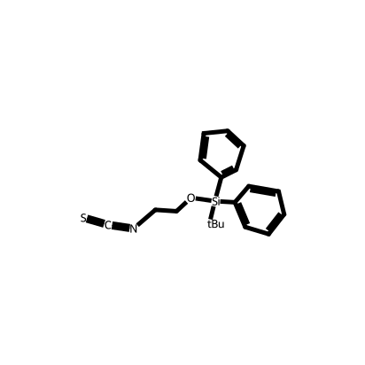 CC(C)(C)[Si](OCCN=C=S)(c1ccccc1)c1ccccc1